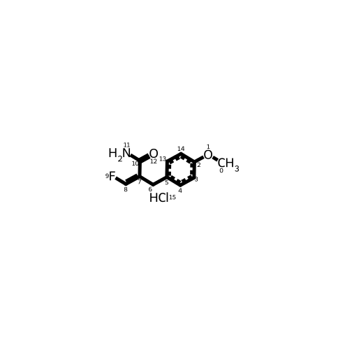 COc1ccc(C/C(=C/F)C(N)=O)cc1.Cl